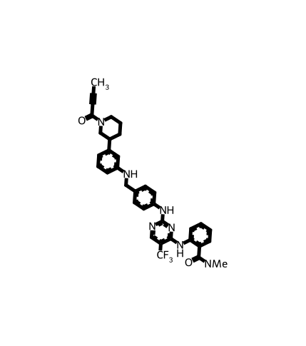 CC#CC(=O)N1CCCC(c2cccc(NCc3ccc(Nc4ncc(C(F)(F)F)c(Nc5ccccc5C(=O)NC)n4)cc3)c2)C1